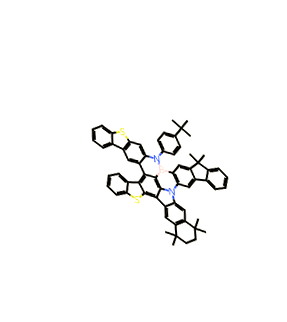 CC(C)(C)c1ccc(N2B3c4cc5c(cc4-n4c6cc7c(cc6c6c8sc9ccccc9c8c(c3c64)-c3cc4c(cc32)sc2ccccc24)C(C)(C)CCC7(C)C)-c2ccccc2C5(C)C)cc1